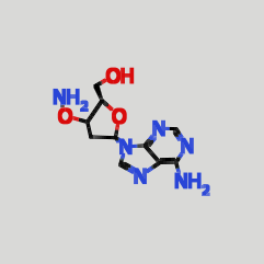 NOC1C[C@H](n2cnc3c(N)ncnc32)O[C@@H]1CO